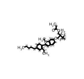 C=CC(=O)OCC(C)(COc1ccc2cc(-c3ccc(CCCCC)cc3CC)n(C)c2c1)C(F)(F)F